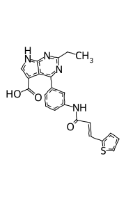 CCc1nc(-c2cccc(NC(=O)/C=C/c3cccs3)c2)c2c(C(=O)O)c[nH]c2n1